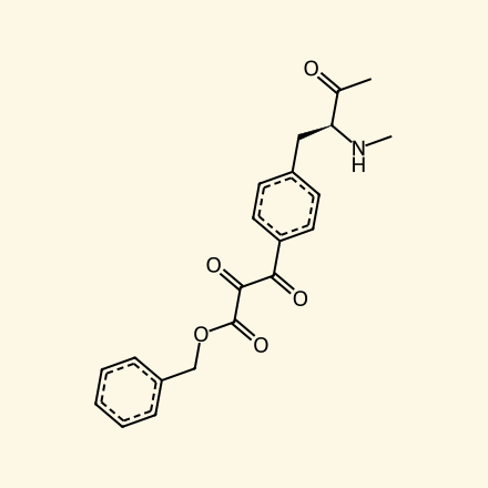 CN[C@@H](Cc1ccc(C(=O)C(=O)C(=O)OCc2ccccc2)cc1)C(C)=O